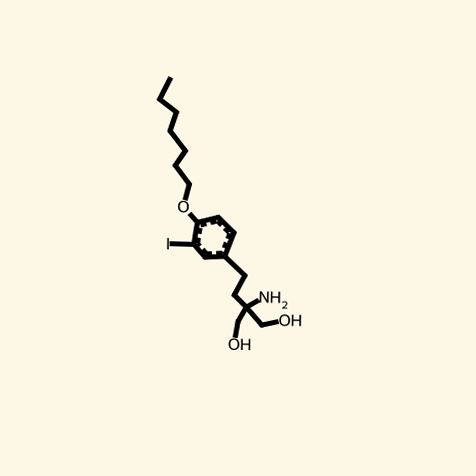 CCCCCCCOc1ccc(CCC(N)(CO)CO)cc1I